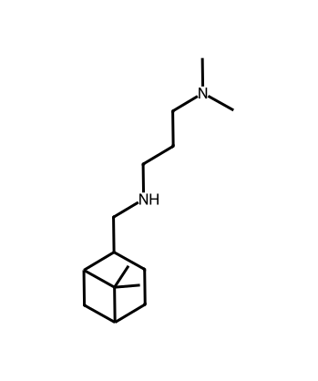 CN(C)CCCNCC1CCC2CC1C2(C)C